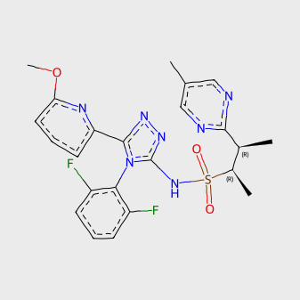 COc1cccc(-c2nnc(NS(=O)(=O)[C@H](C)[C@H](C)c3ncc(C)cn3)n2-c2c(F)cccc2F)n1